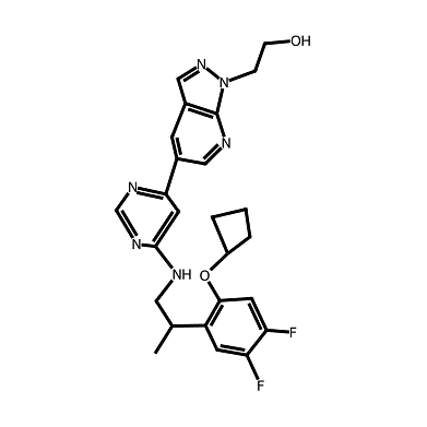 CC(CNc1cc(-c2cnc3c(cnn3CCO)c2)ncn1)c1cc(F)c(F)cc1OC1CCC1